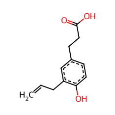 C=CCc1cc(CCC(=O)O)ccc1O